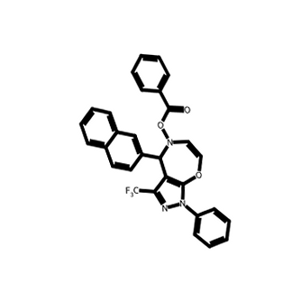 O=C(ON1C=COc2c(c(C(F)(F)F)nn2-c2ccccc2)C1c1ccc2ccccc2c1)c1ccccc1